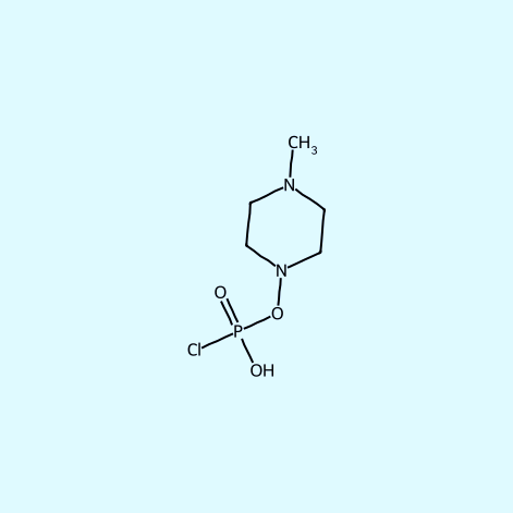 CN1CCN(OP(=O)(O)Cl)CC1